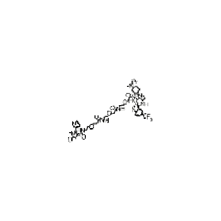 CC(C)N(C)[C@@H]1CC[C@H](N2CC[C@H](Nc3ncnc4ccc(C(F)(F)F)cc34)C2O)[C@H](NC(=O)COCCNC(=O)COCCNC(=O)CCOCCNC(=O)[C@H]2CC(=O)N(C)[C@@H]2c2cccnc2)C1